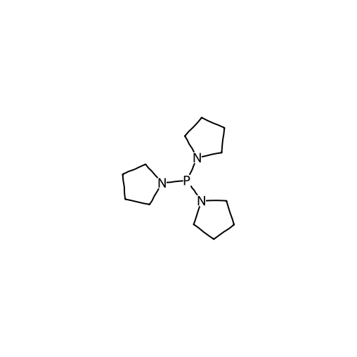 C1CCN(P(N2CCCC2)N2CCCC2)C1